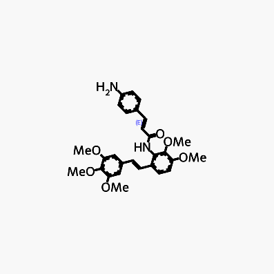 COc1cc(C=Cc2ccc(OC)c(OC)c2NC(=O)/C=C/c2ccc(N)cc2)cc(OC)c1OC